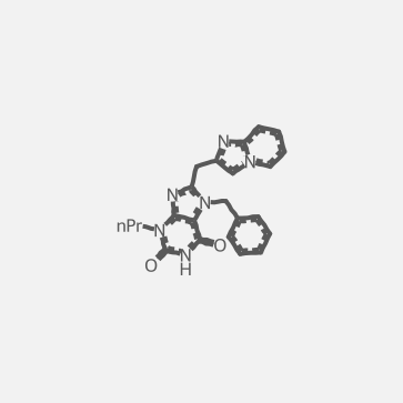 CCCn1c(=O)[nH]c(=O)c2c1nc(Cc1cn3ccccc3n1)n2Cc1ccccc1